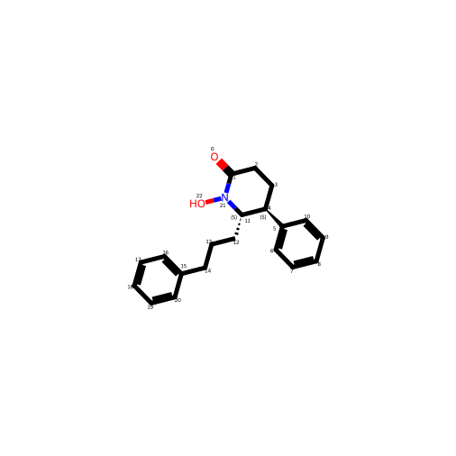 O=C1CC[C@@H](c2ccccc2)[C@H](CCCc2ccccc2)N1O